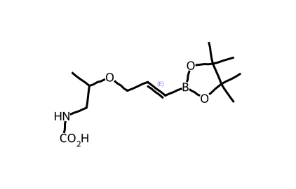 CC(CNC(=O)O)OC/C=C/B1OC(C)(C)C(C)(C)O1